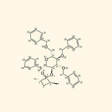 C[C@H]1C[C@H](C)P1(=O)O[C@@H]1[C@@H](OCc2ccccc2)[C@H](OCc2ccccc2)[C@@H](COCc2ccccc2)O[C@H]1Sc1ccccc1